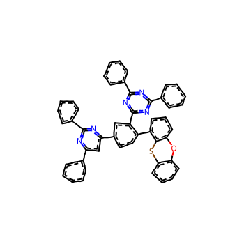 c1ccc(-c2cc(-c3ccc(-c4cccc5c4Sc4ccccc4O5)c(-c4nc(-c5ccccc5)nc(-c5ccccc5)n4)c3)nc(-c3ccccc3)n2)cc1